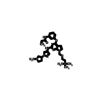 C=CC(=O)Nc1cccc(Oc2nc(Nc3cnn(C4CCN(C)C4)c3)nc3c2ccn3COCC[Si](C)(C)C)c1